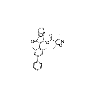 Cc1cc(-c2ccccc2)cc(C)c1C1=C(OC(=O)c2c(C)noc2C)c2c(c3ccc2o3)C1=O